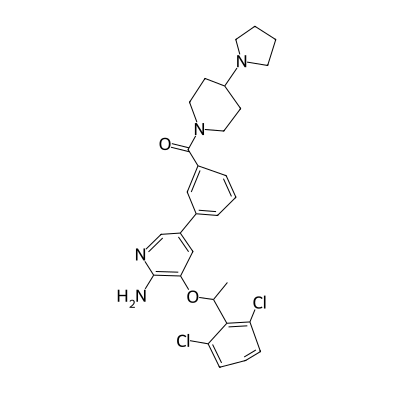 CC(Oc1cc(-c2cccc(C(=O)N3CCC(N4CCCC4)CC3)c2)cnc1N)c1c(Cl)cccc1Cl